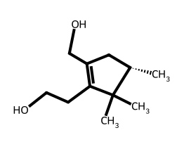 C[C@H]1CC(CO)=C(CCO)C1(C)C